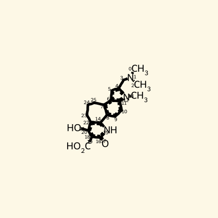 CN(C)Cc1cc2c3c(ccc2n1C)-c1[nH]c(=O)c(C(=O)O)c(O)c1CCC3